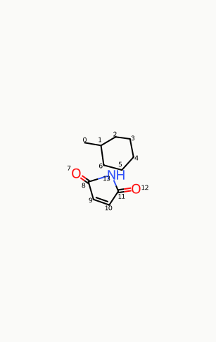 CC1CCCCC1.O=C1C=CC(=O)N1